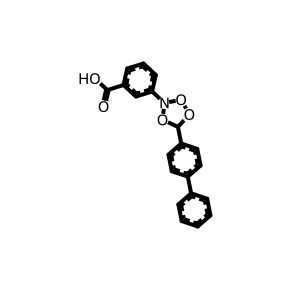 O=C(O)c1cccc(N2OOC(c3ccc(-c4ccccc4)cc3)O2)c1